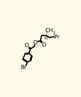 CC(C)C[C@@H](C)CC(=O)OCC(=O)c1ccc(Br)cc1